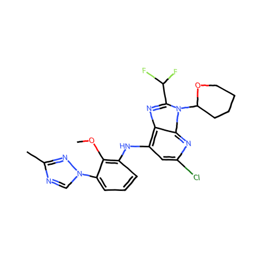 COc1c(Nc2cc(Cl)nc3c2nc(C(F)F)n3C2CCCCO2)cccc1-n1cnc(C)n1